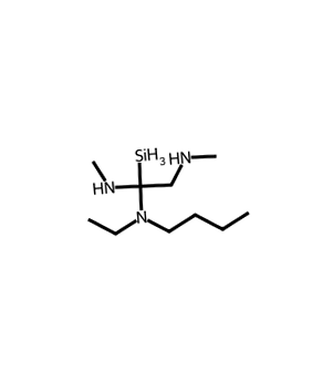 CCCCN(CC)C([SiH3])(CNC)NC